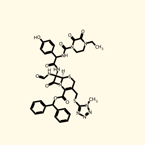 CCN1CCN(C(=O)NC(C(=O)N[C@]2(NC=O)C(=O)N3C(C(=O)OC(c4ccccc4)c4ccccc4)=C(CSc4nnnn4C)CS[C@@H]32)c2ccc(O)cc2)C(=O)C1=O